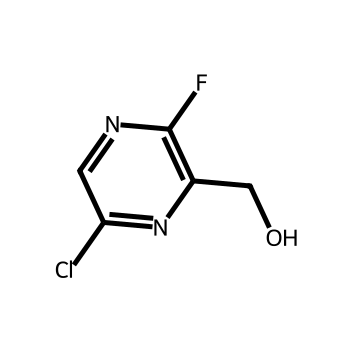 OCc1nc(Cl)cnc1F